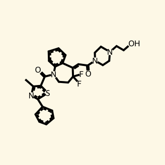 Cc1nc(-c2ccccc2)sc1C(=O)N1CCC(F)(F)C(=CC(=O)N2CCN(CCO)CC2)c2ccccc21